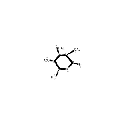 CC(=O)N[C@H]1[C@@H](OC(C)=O)[C@@H](Br)O[C@@H](C)[C@H]1OC(C)=O